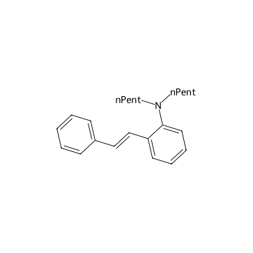 CCCCCN(CCCCC)c1ccccc1C=Cc1ccccc1